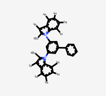 [2H]c1c([2H])c([2H])c2c(c1[2H])c([2H])c(C(C)(C)C)n2-c1cc(-c2ccccc2)cc(-n2c(C(C)(C)C)c([2H])c3c([2H])c([2H])c([2H])c([2H])c32)c1